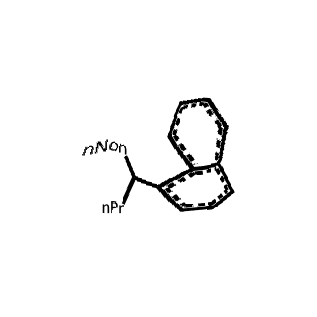 [CH2]CCC(CCCCCCCCC)c1cccc2ccccc12